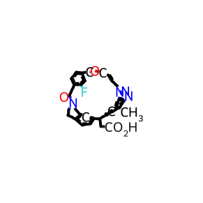 Cc1c2ccc3c1nnn3C/C=C/COCc1ccc(c(F)c1)C(=O)N1CCc3ccc(cc3C1)C2CC(=O)O